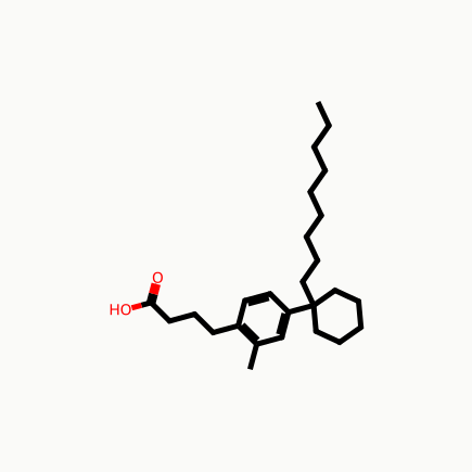 CCCCCCCCCC1(c2ccc(CCCC(=O)O)c(C)c2)CCCCC1